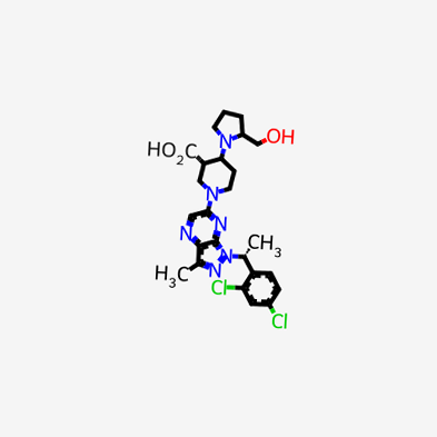 Cc1nn([C@H](C)c2ccc(Cl)cc2Cl)c2nc(N3CCC(N4CCCC4CO)C(C(=O)O)C3)cnc12